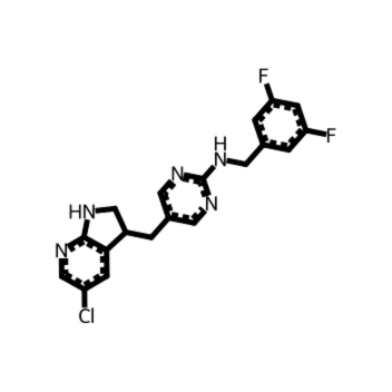 Fc1cc(F)cc(CNc2ncc(CC3CNc4ncc(Cl)cc43)cn2)c1